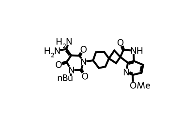 CCCCN1C(=O)C(=C(N)N)C(=O)N(C2CCC3(CC2)CC2(C3)C(=O)Nc3ccc(OC)nc32)C1=O